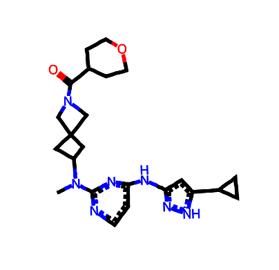 CN(c1nccc(Nc2cc(C3CC3)[nH]n2)n1)C1CC2(C1)CN(C(=O)C1CCOCC1)C2